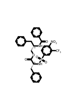 O=C(N[C@H](COC(=O)[C@@H](Cc1ccccc1)NS(=O)(=O)c1ccc([N+](=O)[O-])c(C(F)(F)F)c1)Cc1ccccc1)c1ccccc1